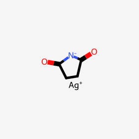 O=C1CCC(=O)[N-]1.[Ag+]